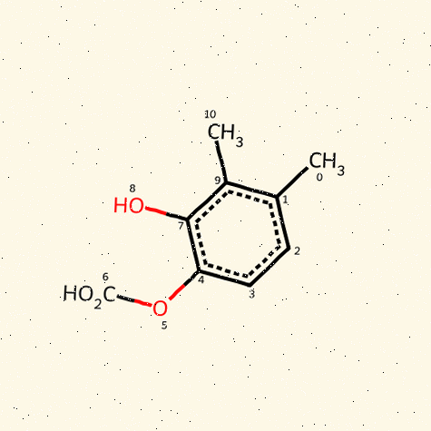 Cc1ccc(OC(=O)O)c(O)c1C